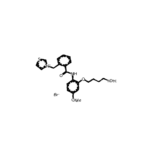 CCCCCCCCCCCCCCOc1cc(OC)ccc1NC(=O)c1ccccc1C[n+]1ccsc1.[Br-]